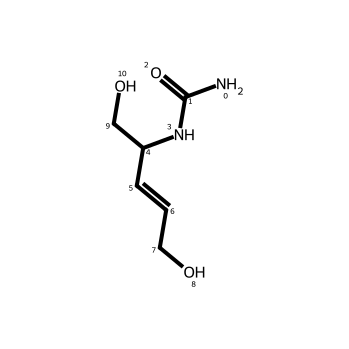 NC(=O)NC(C=CCO)CO